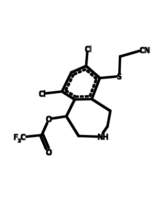 N#CCSc1c(Cl)cc(Cl)c2c1CCNCC2OC(=O)C(F)(F)F